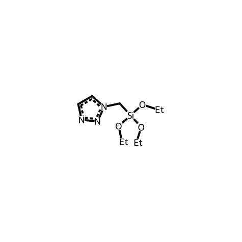 CCO[Si](Cn1ccnn1)(OCC)OCC